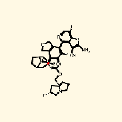 CCN1CC2CCC(C1)N2c1nc(OC[C@@]23CCCN2C[C@H](F)C3)nc2c(F)c(-c3ncc(F)c4sc(N)c(C#N)c34)c3c(c12)COC3